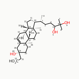 C[C@H](CCC(O)C(C)(C)O)[C@H]1CC[C@H]2[C@@H]3CC=C4C[C@](O)(CC(=O)O)CC[C@]4(C)[C@H]3CC[C@]12C